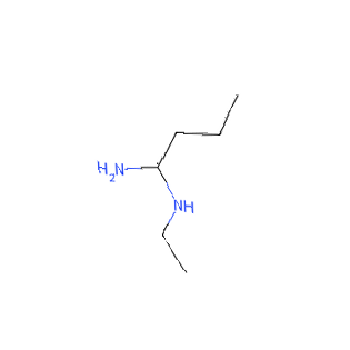 CCC[C](N)NCC